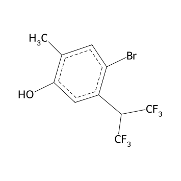 Cc1cc(Br)c(C(C(F)(F)F)C(F)(F)F)cc1O